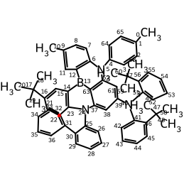 Cc1ccc(N2c3ccc(C)cc3B3c4cc(C(C)(C)C)ccc4N(c4ccccc4-c4ccccc4)c4cc(N(c5ccccc5C(C)(C)C)c5ccccc5C(C)(C)C)cc2c43)cc1